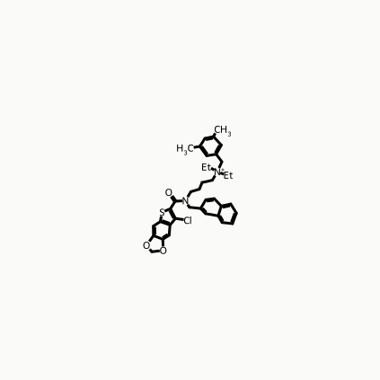 CC[N+](CC)(CCCCN(Cc1ccc2ccccc2c1)C(=O)c1sc2cc3c(cc2c1Cl)OCO3)Cc1cc(C)cc(C)c1